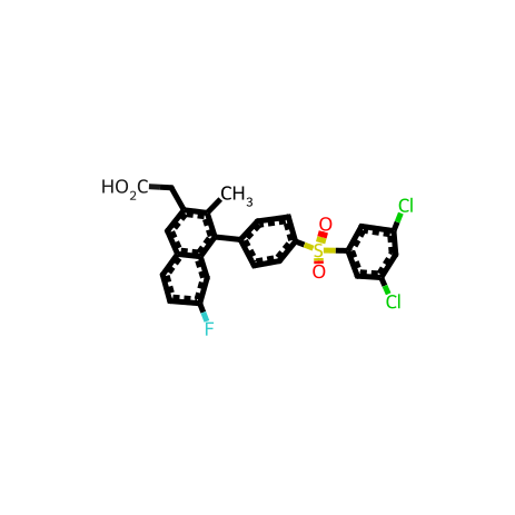 Cc1c(CC(=O)O)cc2ccc(F)cc2c1-c1ccc(S(=O)(=O)c2cc(Cl)cc(Cl)c2)cc1